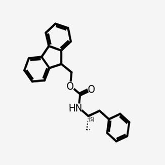 [CH2][C@@H](Cc1ccccc1)NC(=O)OCC1c2ccccc2-c2ccccc21